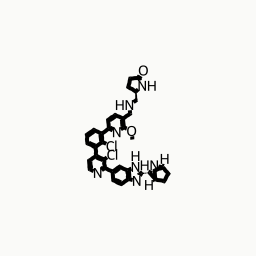 COc1nc(-c2cccc(-c3ccnc(-c4ccc5nc([C@@H]6N[C@@H]7CC[C@H]6C7)[nH]c5c4)c3Cl)c2Cl)ccc1CNC[C@H]1CCC(=O)N1